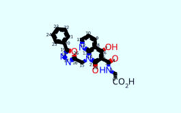 O=C(O)CNC(=O)c1c(O)c2cccnc2n(Cc2nnc(-c3ccccc3)o2)c1=O